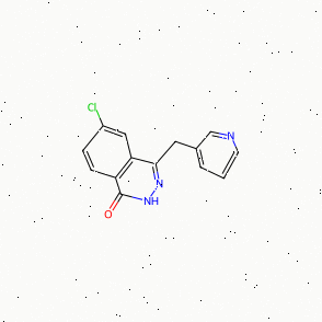 O=c1[nH]nc(Cc2cccnc2)c2cc(Cl)ccc12